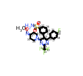 CON=C1CCN(c2nc(C(F)(F)F)nc(-c3ccc(F)cc3)c2-c2cccc(S(N)(=O)=O)c2)CC1